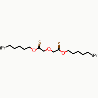 CC(C)CCCCCOC(=S)COCC(=S)OCCCCCC(C)C